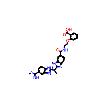 CNC(=N)c1ccc2[nH]c(C(C)c3nc4ccc(C(=O)NCCOc5ccccc5C(=O)O)cc4n3C)nc2c1